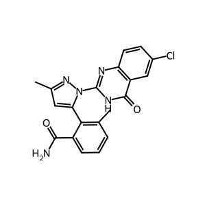 Cc1cc(-c2c(C)cccc2C(N)=O)n(-c2nc3ccc(Cl)cc3c(=O)[nH]2)n1